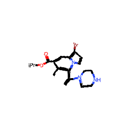 C=C(c1c(C)c(C(=O)OC(C)C)cc2c(Br)ccn12)N1CCNCC1